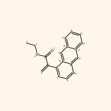 C=C(C(=O)OCC)c1cccc2cc3ccccc3cc12